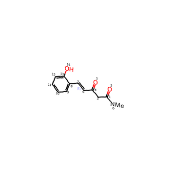 CNC(=O)CC(=O)/C=C/c1ccccc1O